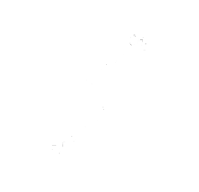 C=C=CC=C=C